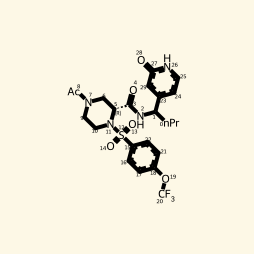 CCCC(NC(=O)[C@H]1CN(C(C)=O)CCN1S(=O)(=O)c1ccc(OC(F)(F)F)cc1)c1cc[nH]c(=O)c1